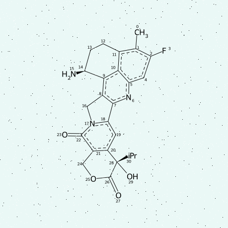 Cc1c(F)cc2nc3c(c4c2c1CC[C@@H]4N)Cn1c-3cc2c(c1=O)COC(=O)[C@]2(O)C(C)C